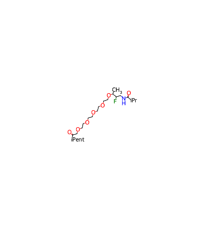 CCCC(C)C(=O)COCCOCCOCCOCCOC(C)C(F)CNC(=O)C(C)C